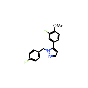 COc1ccc(-c2ccnn2Cc2ccc(F)cc2)cc1F